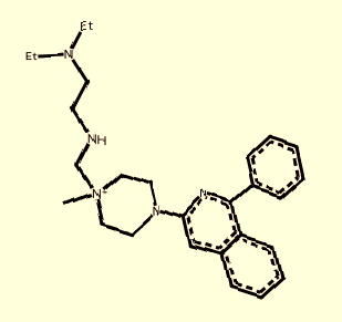 CCN(CC)CCNC[N+]1(C)CCN(c2cc3ccccc3c(-c3ccccc3)n2)CC1